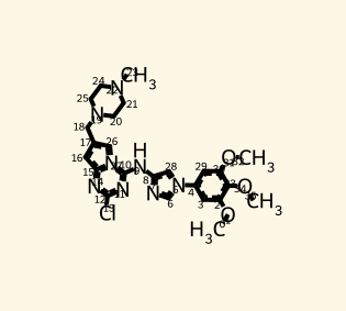 COc1cc(-n2cnc(Nc3nc(Cl)nc4cc(CN5CCN(C)CC5)cn34)c2)cc(OC)c1OC